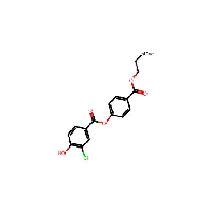 CCCCCCCCCCCCOC(=O)c1ccc(OC(=O)c2ccc(O)c(Cl)c2)cc1